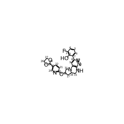 Oc1c(F)cccc1-c1cc2c(nn1)NCC1CC(Oc3ccc(C4OCCO4)cn3)CN21